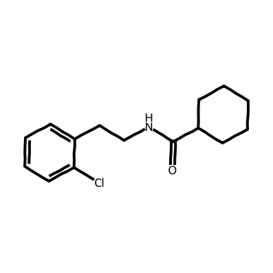 O=C(NCCc1ccccc1Cl)C1CCCCC1